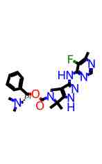 Cc1ncnc(Nc2n[nH]c3c2CN(C(=O)O[C@H](CN(C)C)c2ccccc2)C3(C)C)c1F